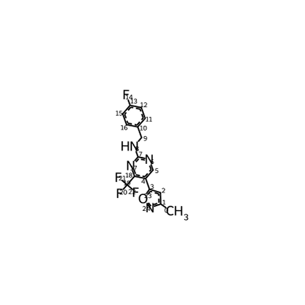 Cc1cc(-c2cnc(NCc3ccc(F)cc3)nc2C(F)(F)F)on1